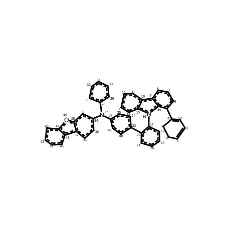 C1=CCCC(c2cccc3c4ccccc4n(-c4ccccc4-c4ccc(N(c5ccccc5)c5ccc6c(c5)oc5ccccc56)cc4)c23)=C1